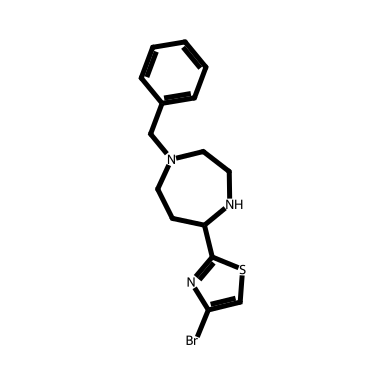 Brc1csc(C2CCN(Cc3ccccc3)CCN2)n1